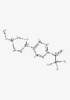 CCN1CCN(c2ncc(C(=O)C(C)(C)C)cn2)CC1